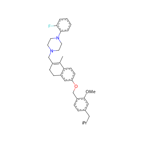 COc1cc(CC(C)C)ccc1COc1ccc2c(c1)CCC(CN1CCN(c3ccccc3F)CC1)=C2C